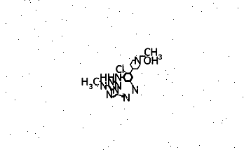 CCNc1nc(Nc2cc(C#N)cc(C3CCN(C[C@H](C)O)CC3)c2Cl)nn2c(C#N)cnc12